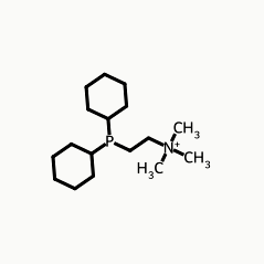 C[N+](C)(C)CCP(C1CCCCC1)C1CCCCC1